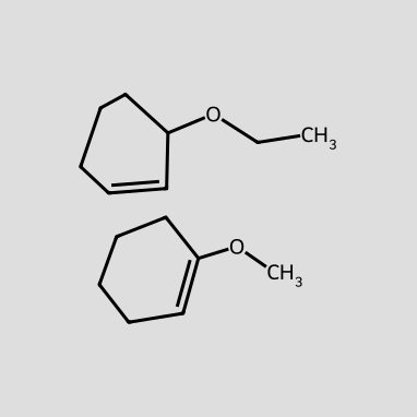 CCOC1C=CCCC1.COC1=CCCCC1